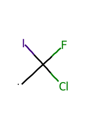 [CH2]C(F)(Cl)I